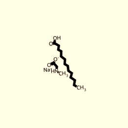 CCCCCCCCCCCCCC(=O)O.CNCC(=O)[O-].[Na+]